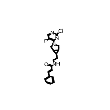 O=C(/C=C/c1ccccc1)NCCC1C2CN(c3nc(Cl)ncc3F)CC12